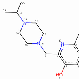 Cc1ccc(O)c(CN2CCN(C(C)C)CC2)n1